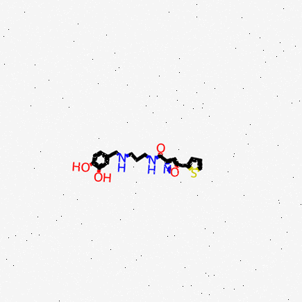 O=C(NCCCNCc1ccc(O)c(O)c1)c1cc(-c2cccs2)on1